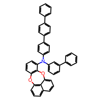 c1ccc(-c2ccc(-c3ccc(N(c4cccc(-c5ccccc5)c4)c4cccc5c4Oc4cccc6cccc(c46)O5)cc3)cc2)cc1